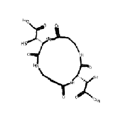 O=C1CCNC(=O)[C@H](C(S)C(=O)O)NC(=O)CCNC(=O)[C@H](C(S)C(=O)O)N1